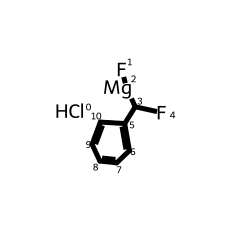 Cl.[F][Mg][CH](F)c1ccccc1